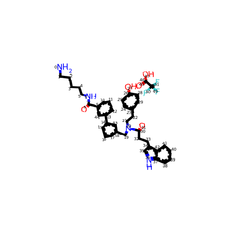 NCCCCCNC(=O)c1cccc(-c2cccc(CN(CCc3ccc(O)cc3)C(=O)CCc3c[nH]c4ccccc34)c2)c1.O=C(O)C(F)(F)F